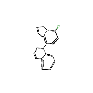 Brc1ccc(-c2cccc3ccccc23)c2c1CC=C2